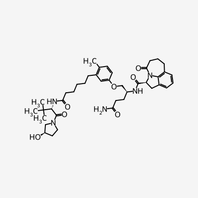 Cc1ccc(OC[C@H](CCC(N)=O)NC(=O)[C@@H]2Cc3cccc4c3N2C(=O)CCC4)cc1CCCCCC(=O)N[C@H](C(=O)N1CC[C@@H](O)C1)C(C)(C)C